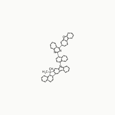 CC1(C)c2cc3c(cc2-c2ccc4ccccc4c21)c1ccccc1n3-c1ccc(-c2nc(-c3ccc4c(c3)oc3ccccc34)c3ccccc3n2)c2ccccc12